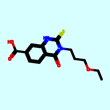 CCOCCCn1c(=S)[nH]c2cc(C(=O)O)ccc2c1=O